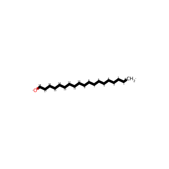 [CH2]CCCCCCCCCCCCCCCCCC[O]